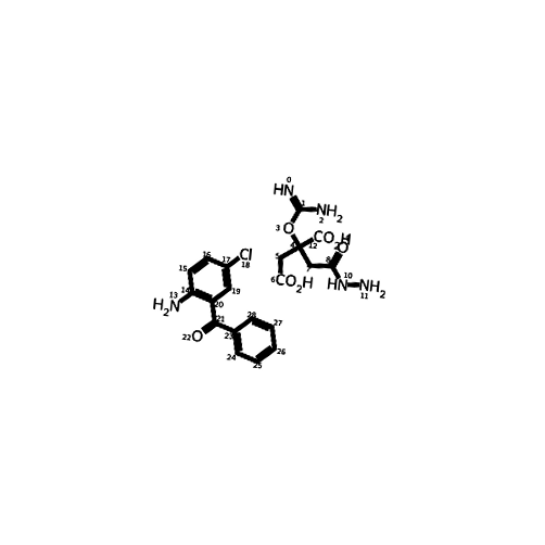 N=C(N)OC(CC(=O)O)(CC(=O)NN)C(=O)O.Nc1ccc(Cl)cc1C(=O)c1ccccc1